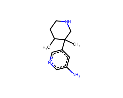 CC1CCNCC1(C)c1cncc(N)c1